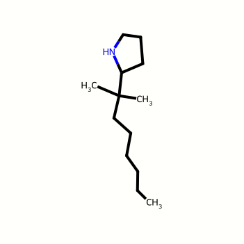 CCCCCCC(C)(C)C1CCCN1